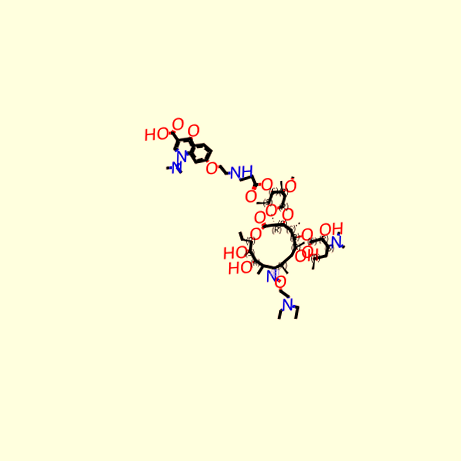 CC[C@H]1OC(=O)[C@H](C)[C@@H](O[C@H]2C[C@@](C)(OC)[C@@H](OC(=O)CCNCCOc3ccc4c(=O)c(C(=O)O)cn(N(C)C)c4c3)[C@H](C)O2)[C@H](C)[C@@H](O[C@@H]2O[C@H](C)C[C@H](N(C)C)[C@H]2O)[C@](C)(O)C[C@@H](C)/C(=N\OCCN(CC)CC)C(C)[C@@H](O)[C@]1(C)O